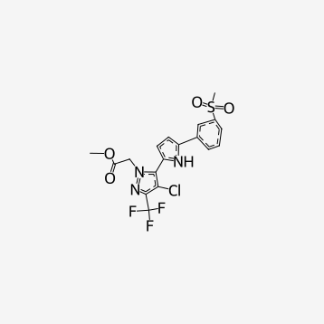 COC(=O)Cn1nc(C(F)(F)F)c(Cl)c1-c1ccc(-c2cccc(S(C)(=O)=O)c2)[nH]1